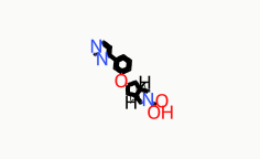 O=C(O)N1C[C@H]2CC(Oc3cccc(-c4ccncn4)c3)C[C@@H]2C1